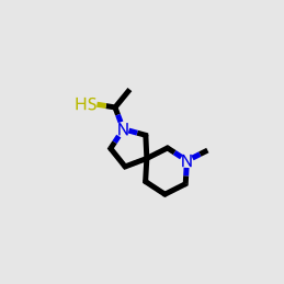 CC(S)N1CCC2(CCCN(C)C2)C1